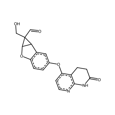 O=CC1(CO)C2Oc3ccc(Oc4ccnc5c4CCC(=O)N5)cc3C21